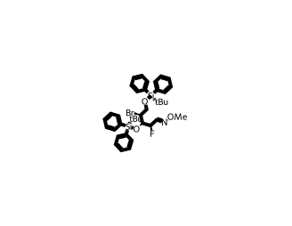 CO/N=C/[C@@H](F)[C@H](O[Si](c1ccccc1)(c1ccccc1)C(C)(C)C)[C@@H](Br)CO[Si](c1ccccc1)(c1ccccc1)C(C)(C)C